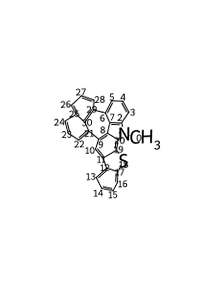 Cn1c2cccc3c2c2c(cc4c5ccccc5sc4c21)-c1cccc2cccc-3c12